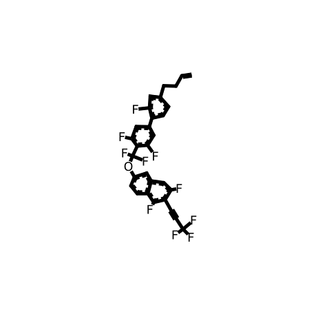 C=CCCc1ccc(-c2cc(F)c(C(F)(F)Oc3ccc4c(F)c(C#CC(F)(F)F)c(F)cc4c3)c(F)c2)c(F)c1